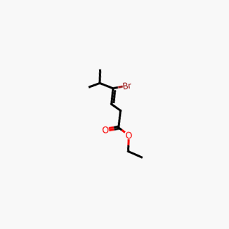 CCOC(=O)C/C=C(\Br)C(C)C